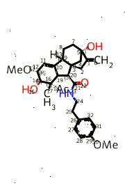 C=C1C[C@]23C[C@@]1(O)CC[C@H]2C1=C[C@@H](OC)[C@H](O)[C@@](C)(C(C)=O)C1[C@@H]3C(=O)NCCc1ccc(OC)cc1